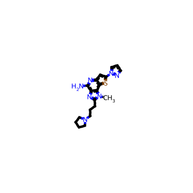 Cn1c(CCCN2CCCC2)nc2c(N)nc3cc(-n4cccn4)sc3c21